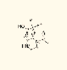 CC(=O)N1CCNCC1.O=C(O)C(F)(F)F